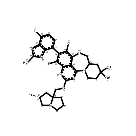 CC1(O)CCN2c3nc(OCC45CCCN4C[C@H](F)C5)nc4c(F)c(-c5ccc(F)c6sc(N)nc56)c(Cl)c(c34)OCC2C1